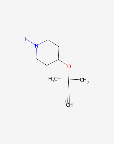 C#CC(C)(C)OC1CCN(I)CC1